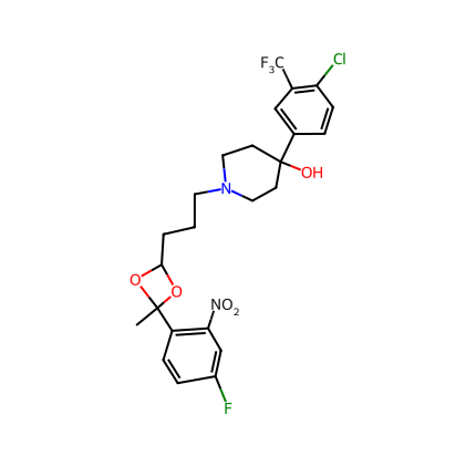 CC1(c2ccc(F)cc2[N+](=O)[O-])OC(CCCN2CCC(O)(c3ccc(Cl)c(C(F)(F)F)c3)CC2)O1